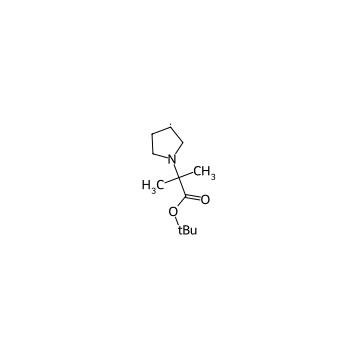 CC(C)(C)OC(=O)C(C)(C)N1C[CH]CC1